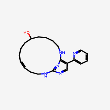 OC1CCCC=CCCNc2ncc(-c3ccccn3)c(n2)NCCCC1